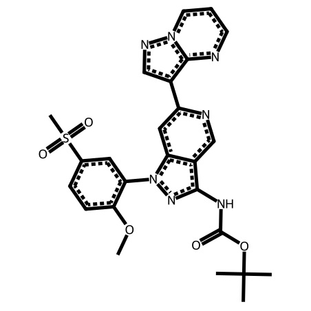 COc1ccc(S(C)(=O)=O)cc1-n1nc(NC(=O)OC(C)(C)C)c2cnc(-c3cnn4cccnc34)cc21